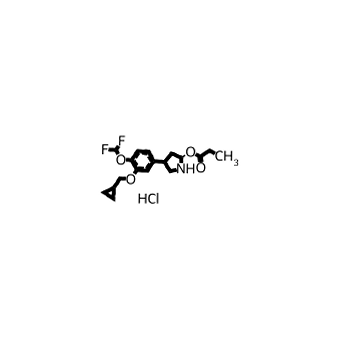 CCC(=O)O[C@H]1CC(c2ccc(OC(F)F)c(OCC3CC3)c2)CN1.Cl